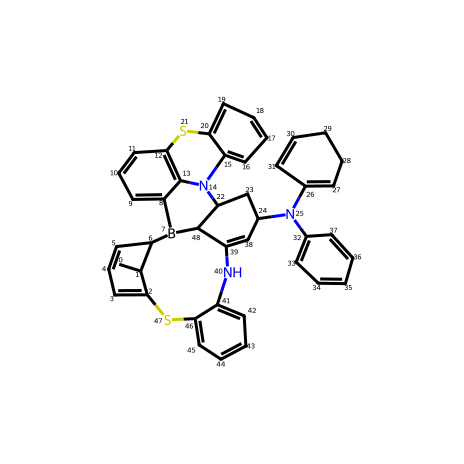 CC1C2=CC=CC1B1c3cccc4c3N(c3ccccc3S4)C3CC(N(C4=CCCC=C4)c4ccccc4)C=C(Nc4ccccc4S2)C13